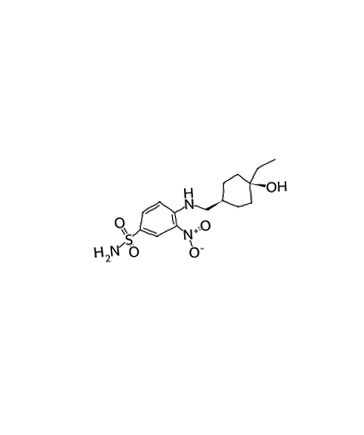 CC[C@]1(O)CC[C@@H](CNc2ccc(S(N)(=O)=O)cc2[N+](=O)[O-])CC1